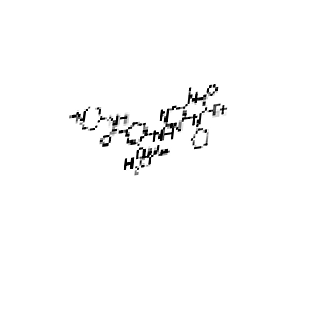 CC[C@@H]1C(=O)N(C)c2cnc(Nc3ccc(C(=O)NC4CCN(C)CC4)cc3OC)nc2N1C1CCCC1.O